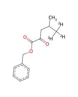 [2H]C([2H])([2H])C(C)CC(=O)C(=O)OCc1ccccc1